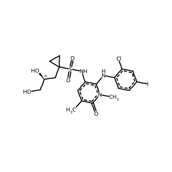 Cc1cc(NS(=O)(=O)C2(C[C@H](O)CO)CC2)c(Nc2ccc(I)cc2Cl)n(C)c1=O